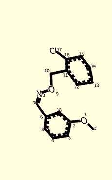 COc1cccc(/[C]=N\OCc2ccccc2Cl)c1